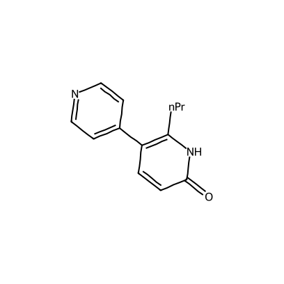 CCCc1[nH]c(=O)ccc1-c1ccncc1